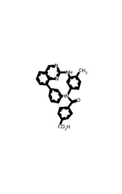 Cc1ccc(NC(=O)c2ccc(C(=O)O)cc2)cc1Nc1ncc2cccc(-c3ccccc3)c2n1